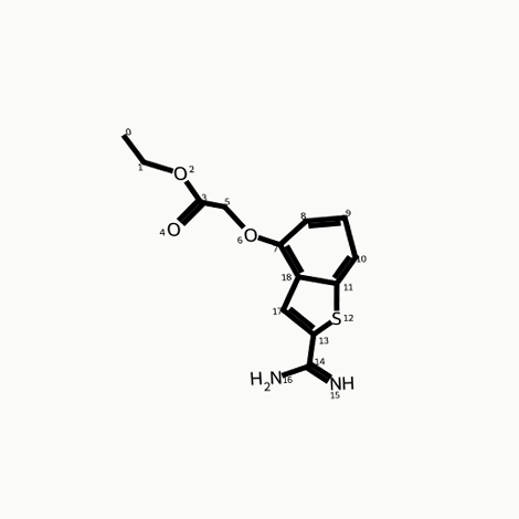 CCOC(=O)COc1cccc2sc(C(=N)N)cc12